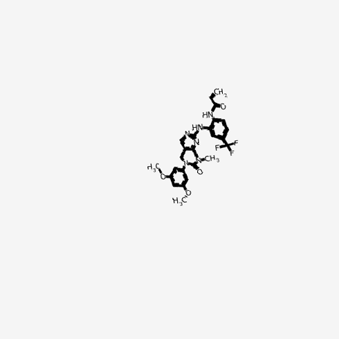 C=CC(=O)Nc1ccc(C(F)(F)F)cc1Nc1ncc2c(n1)N(C)C(=O)N(c1cc(OC)cc(OC)c1)C2